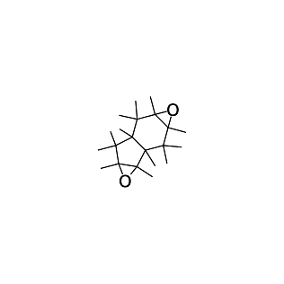 CC1(C)C2(C)OC2(C)C(C)(C)C2(C)C3(C)OC3(C)C(C)(C)C12C